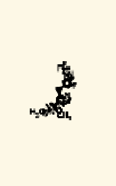 COc1ncc(-c2cc(C3C[C@@H]3c3cc(F)c4cnn(CC(F)(F)F)c4c3)c3nccn3n2)c(OC)n1